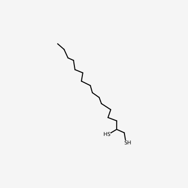 CCCCCCCCCCCCCCC(S)CS